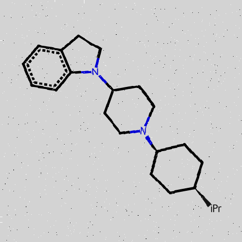 CC(C)[C@H]1CC[C@@H](N2CCC(N3CCc4ccccc43)CC2)CC1